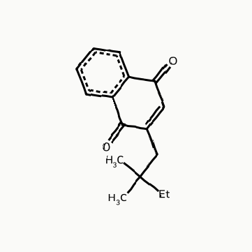 CCC(C)(C)CC1=CC(=O)c2ccccc2C1=O